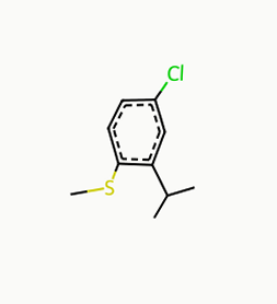 CSc1ccc(Cl)cc1C(C)C